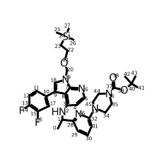 CC(Nc1ccnc2c1c(-c1ccc(F)c(F)c1)cn2COCC[Si](C)(C)C)c1cccc(N2CCN(C(=O)OC(C)(C)C)CC2)n1